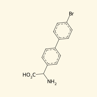 NC(C(=O)O)c1ccc(-c2ccc(Br)cc2)cc1